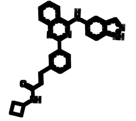 O=C(/C=C/c1cccc(-c2nc(Nc3ccc4[nH]ncc4c3)c3ccccc3n2)c1)NC1CCC1